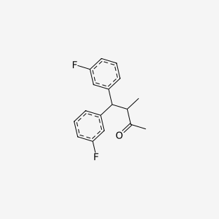 CC(=O)C(C)C(c1cccc(F)c1)c1cccc(F)c1